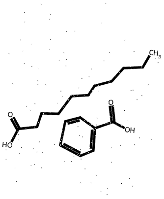 CCCCCCCCCCC(=O)O.O=C(O)c1ccccc1